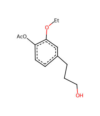 CCOc1cc(CCCO)ccc1OC(C)=O